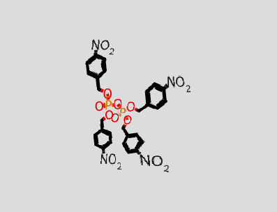 O=[N+]([O-])c1ccc(COP(=O)(OCc2ccc([N+](=O)[O-])cc2)OP(=O)(OCc2ccc([N+](=O)[O-])cc2)OCc2ccc([N+](=O)[O-])cc2)cc1